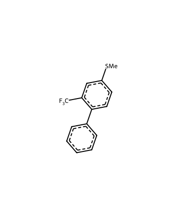 [CH2]Sc1ccc(-c2ccccc2)c(C(F)(F)F)c1